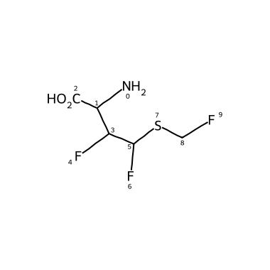 NC(C(=O)O)C(F)C(F)SCF